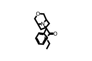 CCOC(=O)C1CC2COCC(C1)N2Cc1ccccc1